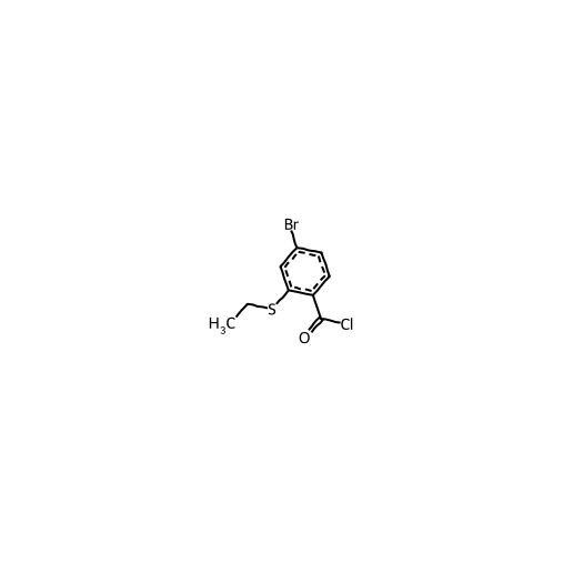 CCSc1cc(Br)ccc1C(=O)Cl